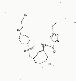 CCc1cc(C(=O)N[C@H]2C[C@H](N)CC[C@H](CS(=O)(=O)[C@H]3CC[C@H](NCCO)CC3)C2)no1